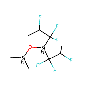 CC(F)C(F)(F)[SiH](O[SiH](C)C)C(F)(F)C(C)F